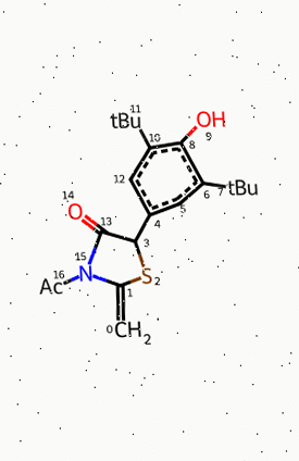 C=C1SC(c2cc(C(C)(C)C)c(O)c(C(C)(C)C)c2)C(=O)N1C(C)=O